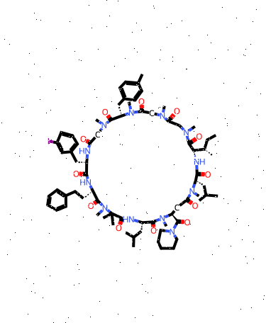 CC[C@H](C)[C@@H]1NC(=O)[C@H](CC(C)C)N(C)C(=O)C[C@@H](C(=O)N2CCCCC2)N(C)C(=O)[C@H](CC(C)C)NC(=O)C(C)(C)N(C)C(=O)[C@H](CCc2ccccc2)NC(=O)[C@H](Cc2cccc(I)c2)NC(=O)CN(C)C(=O)[C@H](Cc2ccc(C)cc2)N(C)C(=O)CN(C)C(=O)CN(C)C1=O